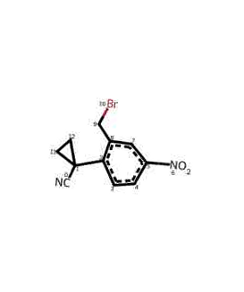 N#CC1(c2ccc([N+](=O)[O-])cc2CBr)CC1